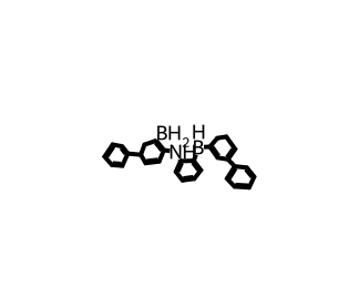 BC1=C(Nc2ccccc2BC2=CC(c3ccccc3)=CCC2)C=CC(c2ccccc2)C1